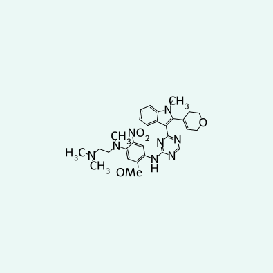 COc1cc(N(C)CCN(C)C)c([N+](=O)[O-])cc1Nc1ncnc(-c2c(C3=CCOCC3)n(C)c3ccccc23)n1